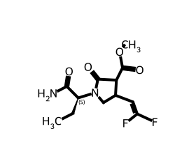 CC[C@@H](C(N)=O)N1CC(C=C(F)F)C(C(=O)OC)C1=O